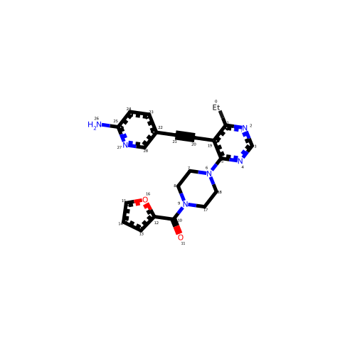 CCc1ncnc(N2CCN(C(=O)c3ccco3)CC2)c1C#Cc1ccc(N)nc1